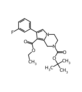 CCOC(=O)c1c(-c2cccc(F)c2)cn2c1CN(C(=O)OC(C)(C)C)CC2